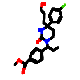 CCC(c1ccc(C(=O)OC)cc1)N1CCC(CCCO)(c2ccc(F)cc2)NC1=O